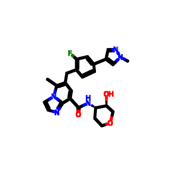 Cc1c(Cc2ccc(-c3cnn(C)c3)cc2F)cc(C(=O)N[C@H]2CCOC[C@@H]2O)c2nccn12